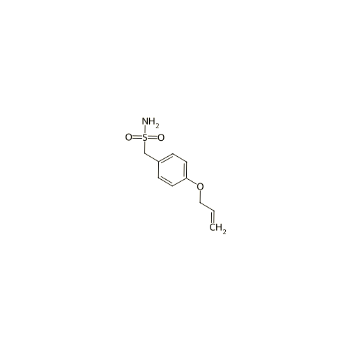 C=CCOc1ccc(CS(N)(=O)=O)cc1